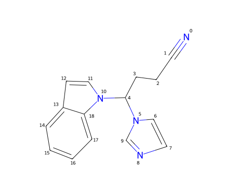 N#CCCC(n1ccnc1)n1ccc2ccccc21